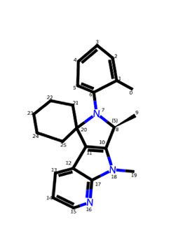 Cc1ccccc1N1[C@@H](C)c2c(c3cccnc3n2C)C12CCCCC2